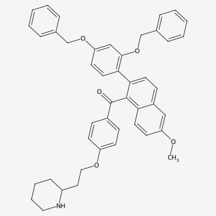 COc1ccc2c(C(=O)c3ccc(OCCC4CCCCN4)cc3)c(-c3ccc(OCc4ccccc4)cc3OCc3ccccc3)ccc2c1